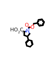 O=C(O)[C@@H]1CC(C2=CCCC=C2)CN1C(=O)OCc1ccccc1